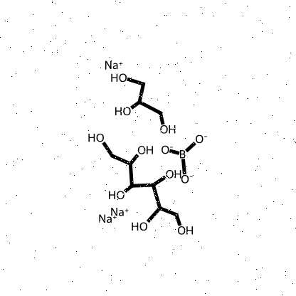 OCC(O)C(O)C(O)C(O)CO.OCC(O)CO.[Na+].[Na+].[Na+].[O-]B([O-])[O-]